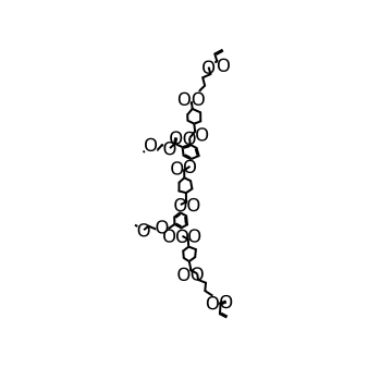 C=CC(=O)OCCCCOC(=O)C1CCC(C(=O)Oc2ccc(OC(=O)C3CCC(C(=O)Oc4ccc(OC(=O)C5CCC(C(=O)OCCCCOC(=O)C=C)CC5)c(C(=O)OCCOC)c4)CC3)cc2C(=O)OCCOC)CC1